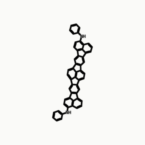 c1ccc(Nc2ccc3c4cc5c(cc4c4cccc2c43)c2ccc3c4cc6c(cc4c4ccc5c2c34)c2ccc(Nc3ccccc3)c3cccc6c32)cc1